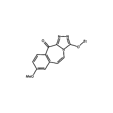 CCOc1nnc2c(=O)c3ccc(OC)cc3ccn12